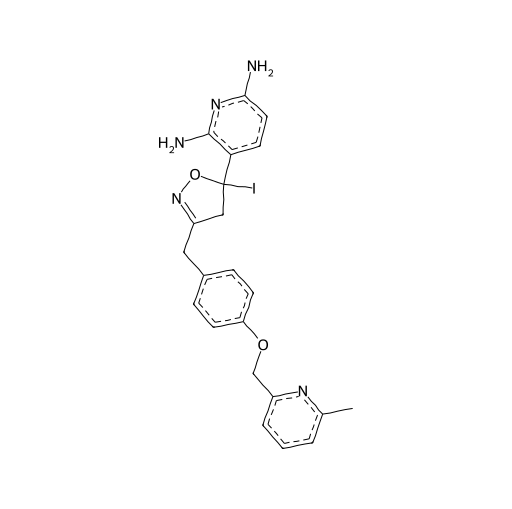 Cc1cccc(COc2ccc(CC3=NOC(I)(c4ccc(N)nc4N)C3)cc2)n1